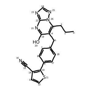 CCCc1c(Cc2ccc(-c3sccc3C#N)cc2)c(O)nc2ncnn12